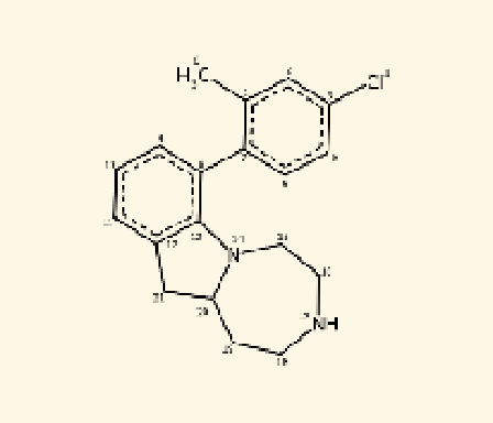 Cc1cc(Cl)ccc1-c1cccc2c1N1CCNCCC1C2